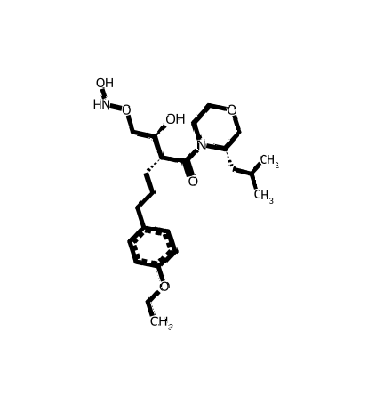 CCOc1ccc(CCC[C@@H](C(=O)N2CCOC[C@@H]2CC(C)C)[C@H](O)CONO)cc1